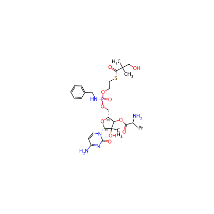 CC(C)C(N)C(=O)OC1[C@@H](COP(=O)(NCc2ccccc2)OCCSC(=O)C(C)(C)CO)O[C@@H](n2ccc(N)nc2=O)C1(C)O